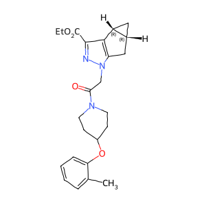 CCOC(=O)c1nn(CC(=O)N2CCC(Oc3ccccc3C)CC2)c2c1[C@@H]1C[C@@H]1C2